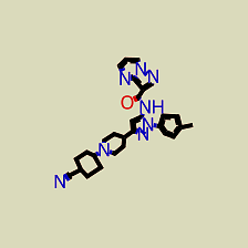 Cc1ccc(-n2nc(C3CCN(C4CCC(C#N)CC4)CC3)cc2NC(=O)c2cnn3cccnc23)cc1